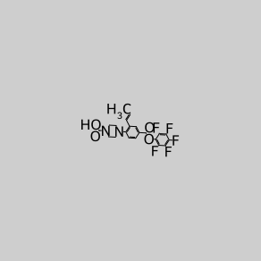 CC=Cc1cc(C(=O)Oc2c(F)c(F)c(F)c(F)c2F)ccc1N1CCN(C(=O)O)CC1